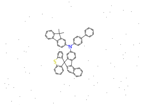 CC1(C)c2ccccc2-c2ccc(N(c3ccc(-c4ccccc4)cc3)c3ccc4c(c3)C3(c5ccccc5Sc5ccccc53)c3ccc5ccccc5c3-4)cc21